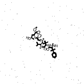 CNC(C(=O)N[C@H](C(=O)N(C)[C@H](CN(C)CC(=O)N1C[C@H](O)CC1C(=O)OC)C(C)C)C(C)(C)C)C(C)(C)c1ccccc1